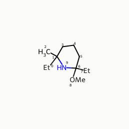 CCC1(C)CCCC(CC)(OC)N1